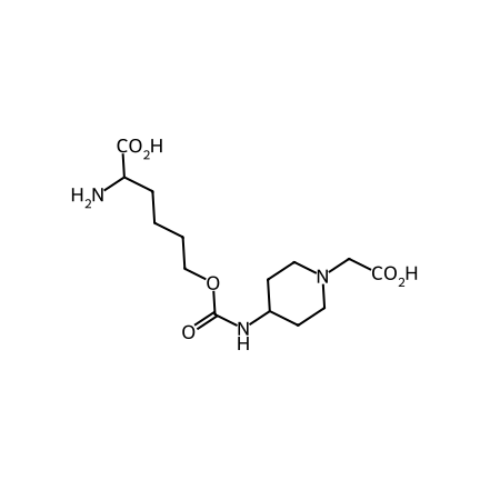 NC(CCCCOC(=O)NC1CCN(CC(=O)O)CC1)C(=O)O